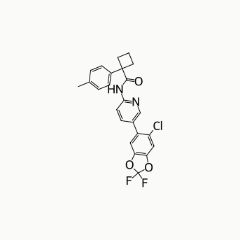 Cc1ccc(C2(C(=O)Nc3ccc(-c4cc5c(cc4Cl)OC(F)(F)O5)cn3)CCC2)cc1